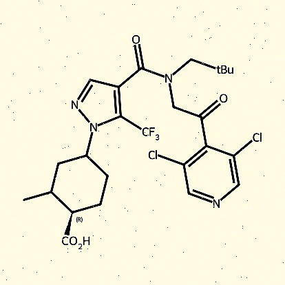 CC1CC(n2ncc(C(=O)N(CC(=O)c3c(Cl)cncc3Cl)CC(C)(C)C)c2C(F)(F)F)CC[C@H]1C(=O)O